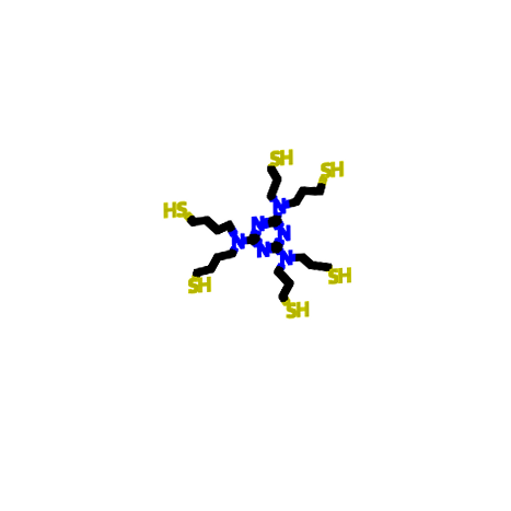 SCCCCN(CCCCS)c1nc(N(CCCS)CCCS)nc(N(CCCS)CCCS)n1